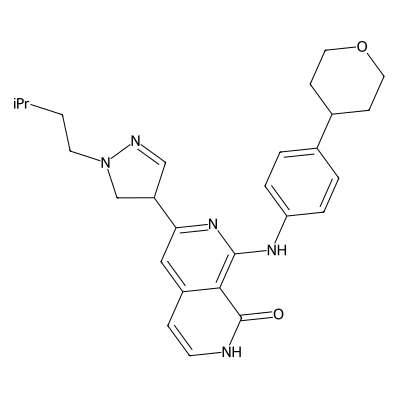 CC(C)CCN1CC(c2cc3cc[nH]c(=O)c3c(Nc3ccc(C4CCOCC4)cc3)n2)C=N1